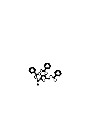 C=C=NC1OC(COC(=O)c2ccccc2)C(OC(=O)c2ccccc2)C1OC(=O)c1ccccc1